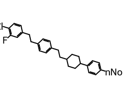 CCCCCCCCCc1ccc(C2CCC(CCc3ccc(CCc4ccc(Cl)c(F)c4)cc3)CC2)cc1